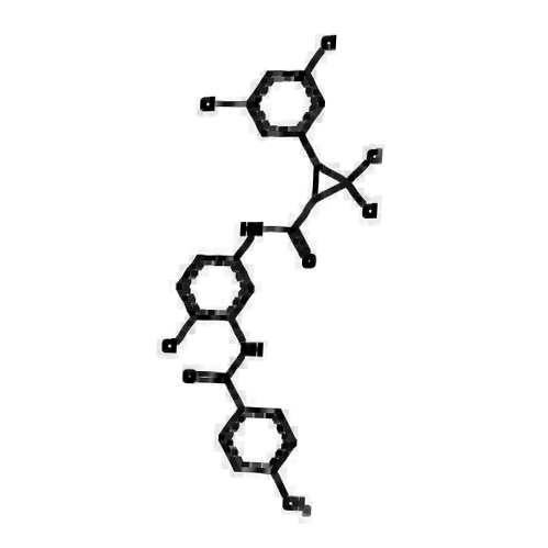 Cc1ccc(C(=O)Nc2cc(NC(=O)C3C(c4cc(Cl)cc(Cl)c4)C3(Cl)Cl)ccc2Cl)cc1